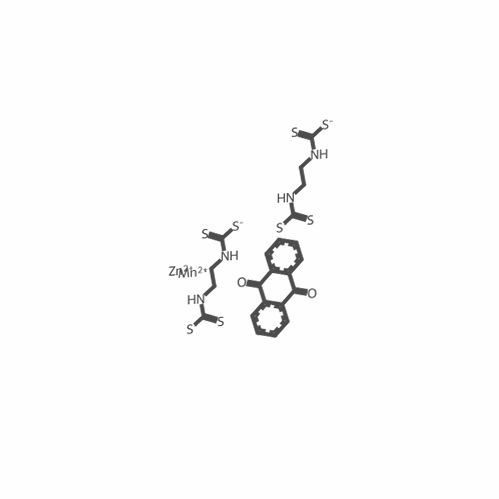 O=C1c2ccccc2C(=O)c2ccccc21.S=C([S-])NCCNC(=S)[S-].S=C([S-])NCCNC(=S)[S-].[Mn+2].[Zn+2]